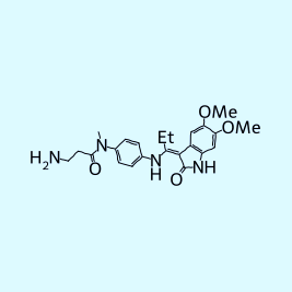 CC/C(Nc1ccc(N(C)C(=O)CCN)cc1)=C1/C(=O)Nc2cc(OC)c(OC)cc21